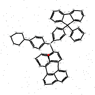 c1ccc(-c2cccc3cccc(-c4ccc(N(c5ccc(C6CCCCC6)cc5)c5ccc(C6(c7ccccc7)c7ccccc7-c7ccccc76)cc5)cc4)c23)cc1